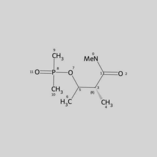 CNC(=O)[C@H](C)C(C)OP(C)(C)=O